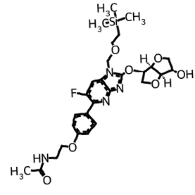 CC(=O)NCCOc1ccc(-c2nc3nc(O[C@@H]4CO[C@H]5[C@@H]4OC[C@H]5O)n(COCC[Si](C)(C)C)c3cc2F)cc1